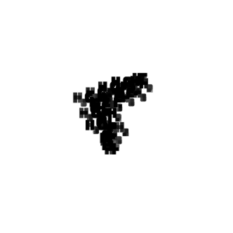 CN(C)P.CN(C)P.CN(C)P.CN(C)P.CN(C)P.CN(C)P.F.F.F.F.F.F